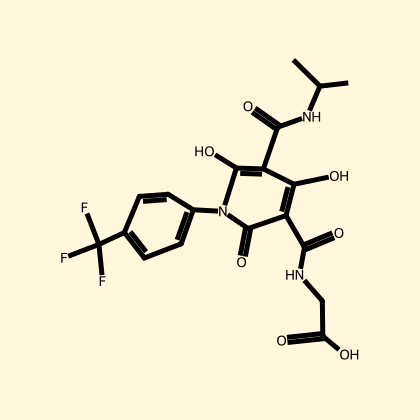 CC(C)NC(=O)c1c(O)c(C(=O)NCC(=O)O)c(=O)n(-c2ccc(C(F)(F)F)cc2)c1O